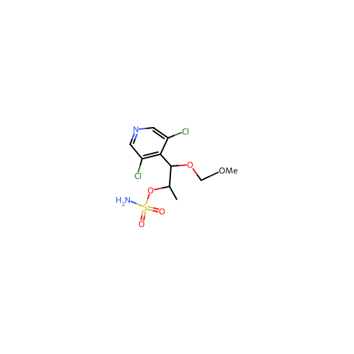 COCOC(c1c(Cl)cncc1Cl)C(C)OS(N)(=O)=O